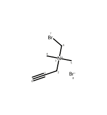 C#CC[N+](C)(C)CBr.[Br-]